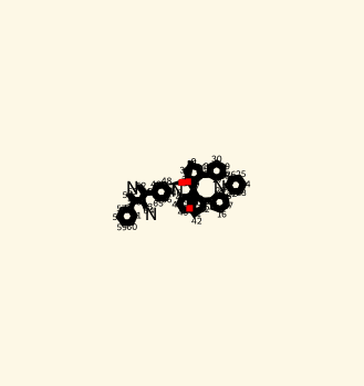 Cc1ccc2c(c1)C1(c3ccccc3-c3ccccc3N(c3ccccc3)c3ccccc3-c3ccccc31)c1cc(C)ccc1N2c1ccc(-c2cncc(-c3ccccc3)c2C#N)cc1